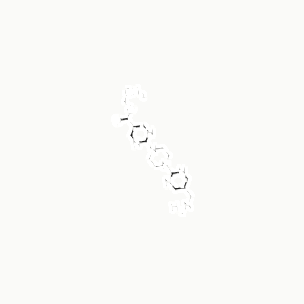 CCOC(=O)c1cnc(N2CCN(c3ncc(CN)cn3)CC2)nc1